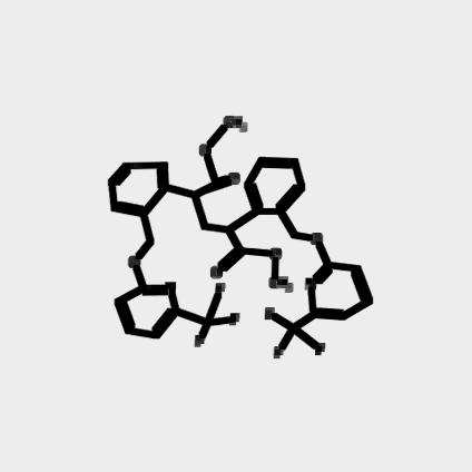 COC(=O)C(CC(C(=O)OC)c1ccccc1COc1cccc(C(F)(F)F)n1)c1ccccc1COc1cccc(C(F)(F)F)n1